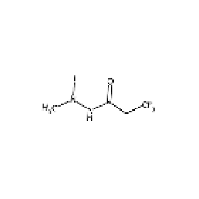 CN(I)NC(=O)CC(F)(F)F